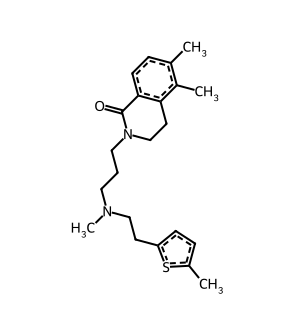 Cc1ccc(CCN(C)CCCN2CCc3c(ccc(C)c3C)C2=O)s1